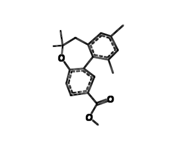 COC(=O)c1ccc2c(c1)-c1c(C)cc(C)cc1CC(C)(C)O2